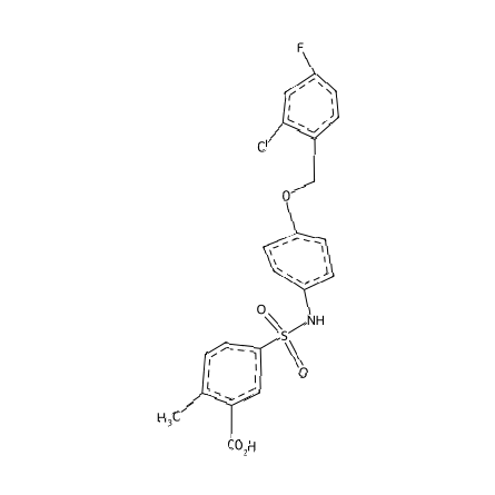 Cc1ccc(S(=O)(=O)Nc2ccc(OCc3ccc(F)cc3Cl)cc2)cc1C(=O)O